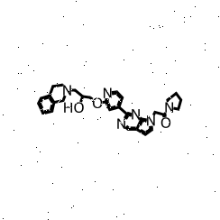 O=C(Cn1ccc2cnc(-c3ccnc(OCC(O)CN4CCc5ccccc5C4)c3)nc21)N1CCCC1